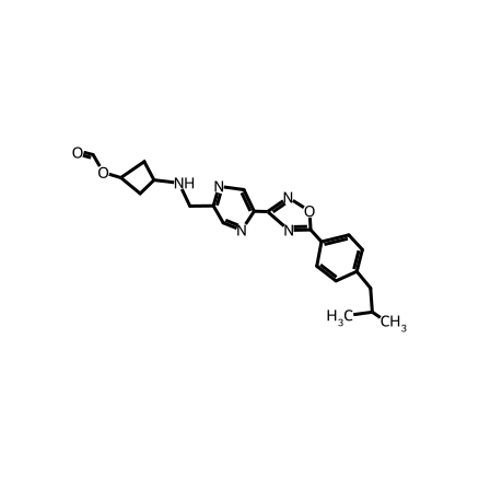 CC(C)Cc1ccc(-c2nc(-c3cnc(CNC4CC(OC=O)C4)cn3)no2)cc1